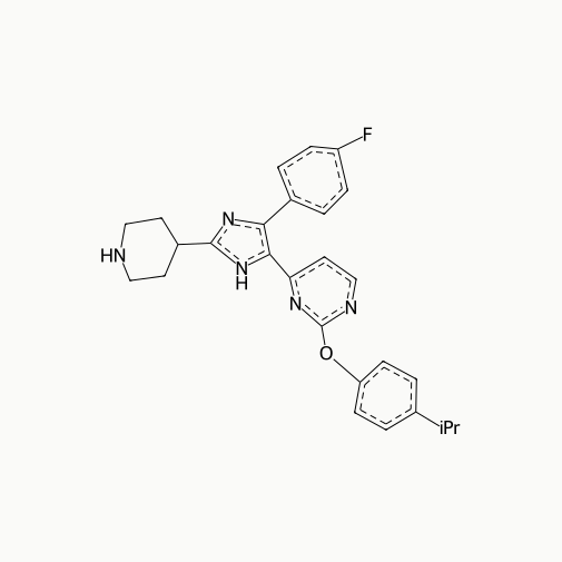 CC(C)c1ccc(Oc2nccc(-c3[nH]c(C4CCNCC4)nc3-c3ccc(F)cc3)n2)cc1